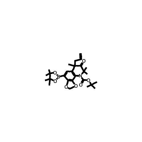 C=CCC1(C)C(=O)C(C)(C)N(C(=O)OC(C)(C)C)c2c1cc(B1OC(C)(C)C(C)(C)O1)c1c2OCO1